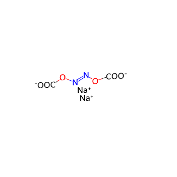 O=C([O-])ON=NOC(=O)[O-].[Na+].[Na+]